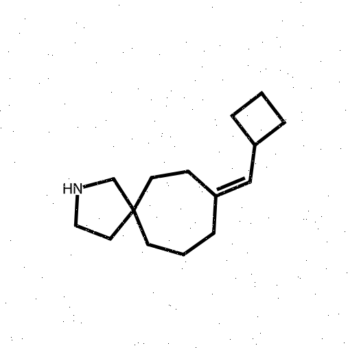 C(=C1\CCCC2(CCNC2)CC1)/C1CCC1